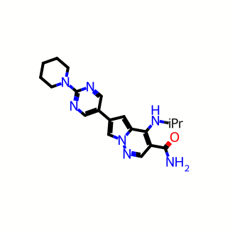 CC(C)Nc1c(C(N)=O)cnn2cc(-c3cnc(N4CCCCC4)nc3)cc12